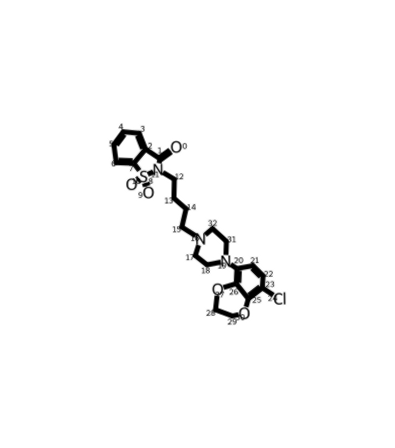 O=C1c2ccccc2S(=O)(=O)N1CCCCN1CCN(c2ccc(Cl)c3c2OCCO3)CC1